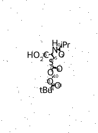 CC(C)C(=O)N[C@@H](CSC(=O)OCOC(=O)C(C)(C)C)C(=O)O